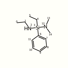 CCN[Si](CC)(c1ccccc1)N(C)C